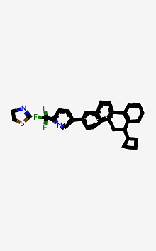 C1=NCCS1.FC(F)(F)c1ccc(-c2ccc3c4c(ccc3c2)C2=C(CCC=C2)C(C2CCC2)C4)cn1